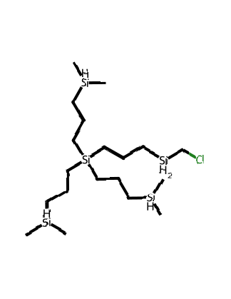 C[SiH](C)CCC[Si](CCC[SiH2]CCl)(CCC[SiH](C)C)CCC[SiH](C)C